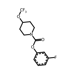 O=C(Oc1cccc(F)c1)N1CCC(OC(F)(F)F)CC1